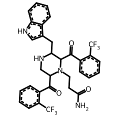 NC(=O)CCN1C(C(=O)c2ccccc2C(F)(F)F)CNC(Cc2c[nH]c3ccccc23)C1C(=O)c1ccccc1C(F)(F)F